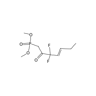 CCC=CC(F)(F)C(=O)CP(=O)(OC)OC